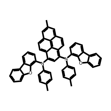 Cc1ccc(N(c2cc(N(c3ccc(C)cc3)c3cccc4c3oc3ccccc34)c3ccc4cc(C)cc5ccc2c3c54)c2cccc3c2oc2ccccc23)cc1